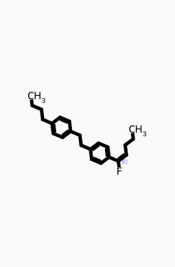 CCC/C=C(/F)c1ccc(CCc2ccc(CCCC)cc2)cc1